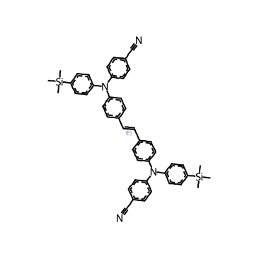 C[Si](C)(C)c1ccc(N(c2ccc(C#N)cc2)c2ccc(/C=C/c3ccc(N(c4ccc(C#N)cc4)c4ccc([Si](C)(C)C)cc4)cc3)cc2)cc1